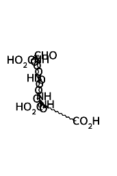 O=C[C@H](CCC(=O)O)NC(=O)COCCOCCNC(=O)COCCOCCNC(=O)CC[C@H](NC(=O)CCCCCCCCCCCCCCCCC(=O)O)C(=O)O